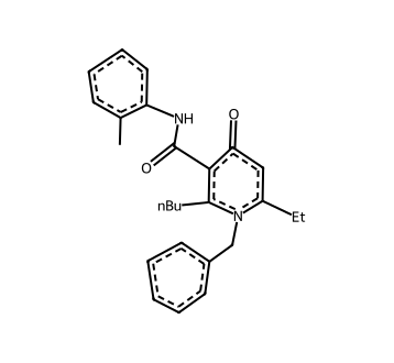 CCCCc1c(C(=O)Nc2ccccc2C)c(=O)cc(CC)n1Cc1ccccc1